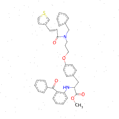 COC(=O)C(Cc1ccc(OCCCN(Cc2ccccc2)C(=O)C=Cc2ccsc2)cc1)Nc1ccccc1C(=O)c1ccccc1